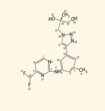 Cc1cc(Nc2nccc(C(F)F)n2)cc(-c2cn(C[C@](C)(O)CO)nn2)c1